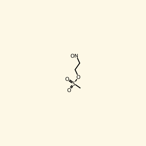 CS(=O)(=O)OCCN=O